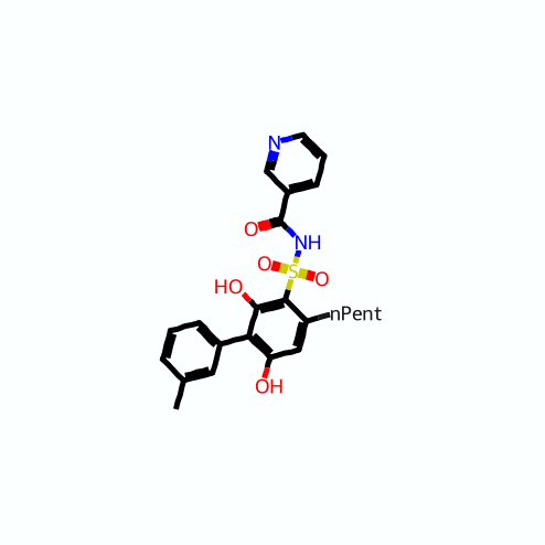 CCCCCc1cc(O)c(-c2cccc(C)c2)c(O)c1S(=O)(=O)NC(=O)c1cccnc1